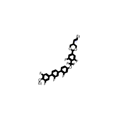 CC/C=C/C1COC(c2cc(F)c(C(F)(F)Oc3ccc(-c4ccc(-c5cc(F)c(OCC)c(F)c5)c(F)c4)c(F)c3)c(F)c2)OC1